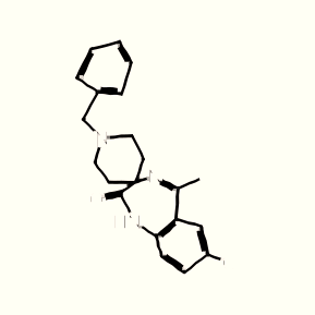 CC1=NC2(CCN(Cc3ccccc3)CC2)C(=O)Nc2ccc(Cl)cc21